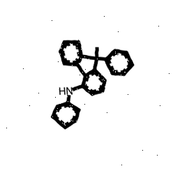 CC1(c2ccccc2)c2ccccc2-c2c(Nc3ccccc3)cccc21